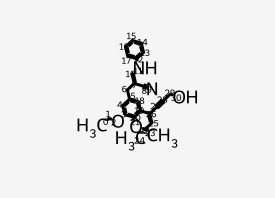 CCOc1cc(CC(C#N)=CNc2ccccc2)cc2c1OC(C)(C)C=C2C#CCO